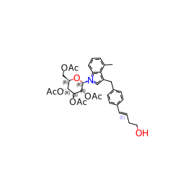 CC(=O)OC[C@H]1O[C@@H](n2cc(Cc3ccc(/C=C/CCO)cc3)c3c(C)cccc32)[C@H](OC(C)=O)[C@@H](OC(C)=O)[C@@H]1OC(C)=O